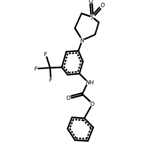 O=C(Nc1cc(N2CCS(=O)(=O)CC2)cc(C(F)(F)F)c1)Oc1ccccc1